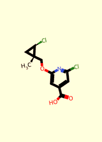 C[C@@]1(COc2cc(C(=O)O)cc(Cl)n2)C[C@H]1Cl